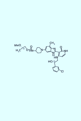 CO[C@@H](C)COC(=O)NC1CCN(c2cc(C)c3nc(-c4c(NC[C@@H](O)c5cccc(Cl)c5)cc[nH]c4=O)[nH]c3c2)CC1